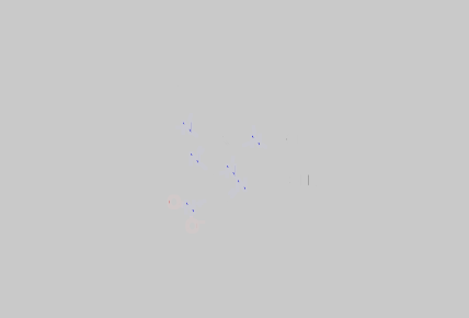 CCC(C)N1CCc2c(N3CCCCC3)nc3c([N+](=O)[O-])cnn3c21